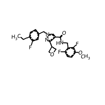 CCc1ccc(Cn2cc(C(=O)NCc3c(F)ccc(OC)c3F)c(C3COC3)n2)cc1F